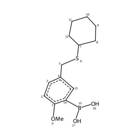 COc1ccc(CSC2CCCCC2)cc1B(O)O